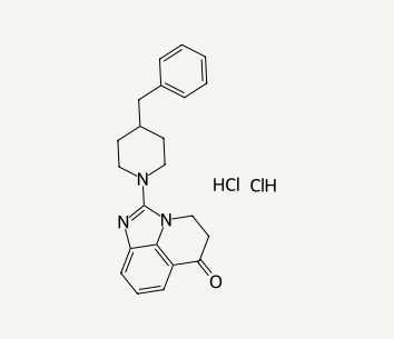 Cl.Cl.O=C1CCn2c(N3CCC(Cc4ccccc4)CC3)nc3cccc1c32